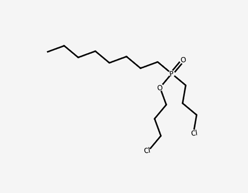 CCCCCCCCP(=O)(CCCCl)OCCCCl